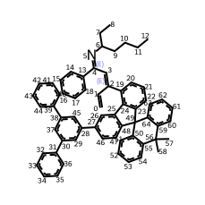 C=C/C(=C\C(=N/C(CC)CCCC)c1ccccc1)c1cccc2c1-c1cc(-c3cc(-c4ccccc4)cc(-c4ccccc4)c3)ccc1C21c2ccccc2C(C)(C)c2ccccc21